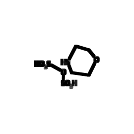 C1COCCN1.O=S(=O)(O)OS(=O)(=O)O